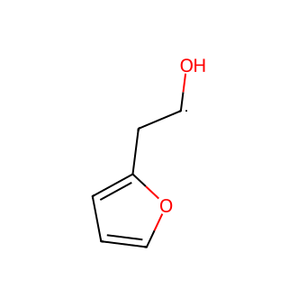 O[CH]Cc1ccco1